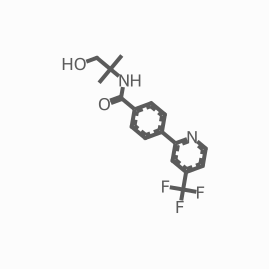 CC(C)(CO)NC(=O)c1ccc(-c2cc(C(F)(F)F)ccn2)cc1